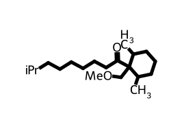 COCC1(C(=O)CCCCCCC(C)C)C(C)CCCC1C